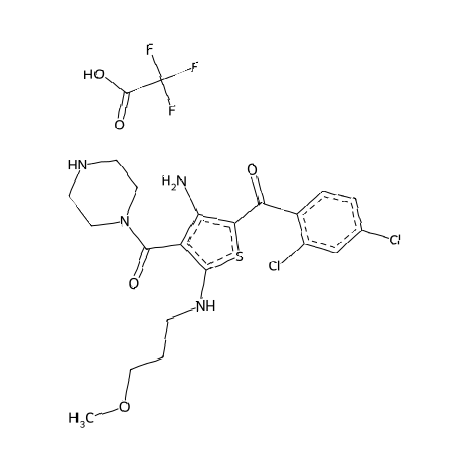 COCCCNc1sc(C(=O)c2ccc(Cl)cc2Cl)c(N)c1C(=O)N1CCNCC1.O=C(O)C(F)(F)F